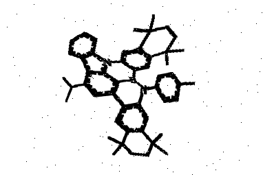 Cc1ccc(N2B3c4cc5c(cc4-n4c6ccccc6c6c(C(C)C)cc(c3c64)-c3cc4c(cc32)C(C)(C)CCC4(C)C)C(C)(C)CCC5(C)C)cc1